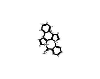 O=c1c2ccccc2n2ccc3c4ccccc4c4ccn1c4c32